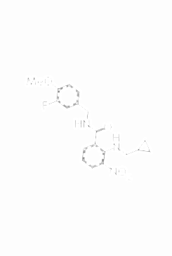 COc1ccc(CNC(=O)c2cccc([N+](=O)[O-])c2NCC2CC2)cc1F